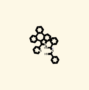 N=C(/N=C(\Nn1c(-c2ccccn2)c2c3c(cccc31)-c1ccccc1-c1ccccc1-2)c1ccccc1)c1ccccc1